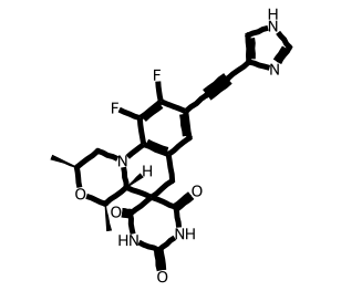 C[C@H]1CN2c3c(cc(C#Cc4c[nH]cn4)c(F)c3F)CC3(C(=O)NC(=O)NC3=O)[C@@H]2[C@@H](C)O1